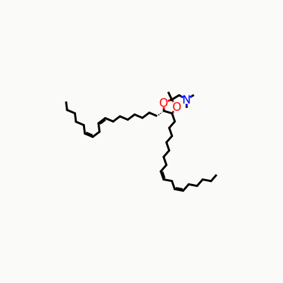 CCCCC/C=C\C/C=C\CCCCCCCC1OC(C)(CN(C)C)O[C@H]1CCCCCCC/C=C\C/C=C\CCCCC